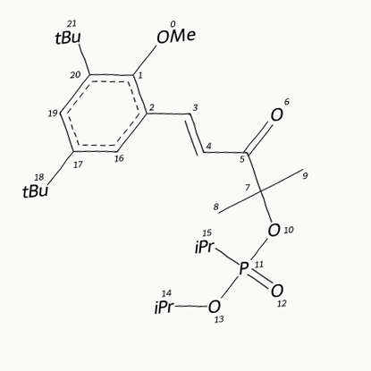 COc1c(C=CC(=O)C(C)(C)OP(=O)(OC(C)C)C(C)C)cc(C(C)(C)C)cc1C(C)(C)C